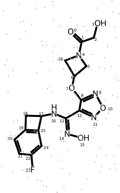 O=C(CO)N1CC(Oc2nonc2C(=NO)NC2Cc3ccc(F)cc32)C1